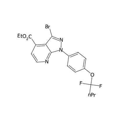 CCCC(F)(F)Oc1ccc(-n2nc(Br)c3c(C(=O)OCC)ccnc32)cc1